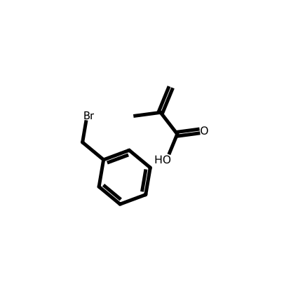 BrCc1ccccc1.C=C(C)C(=O)O